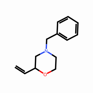 C=CC1CN(Cc2ccccc2)CCO1